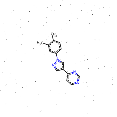 Cc1ccc(-n2cc(-c3ccncn3)cn2)cc1C